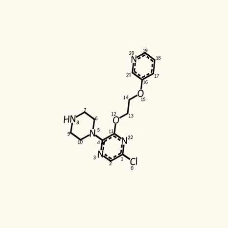 Clc1cnc(N2CCNCC2)c(OCCOc2cccnc2)n1